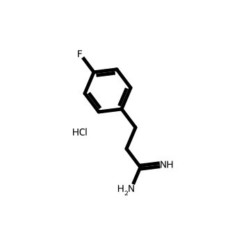 Cl.N=C(N)CCc1ccc(F)cc1